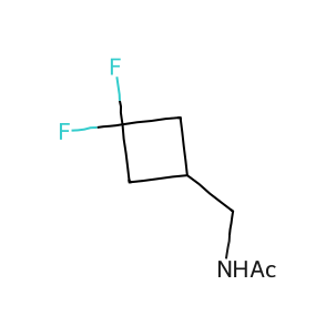 CC(=O)NCC1CC(F)(F)C1